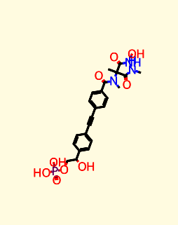 CNC(=O)C(C)(C(=O)NO)N(C)C(=O)c1ccc(C#Cc2ccc(C(O)COP(=O)(O)O)cc2)cc1